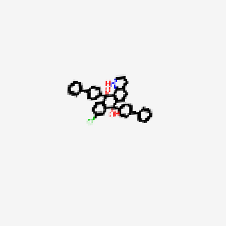 OC1(c2ccc(-c3ccccc3)cc2)c2cc(Cl)ccc2C(O)(c2ccc(-c3ccccc3)cc2)c2c1ccc1cccnc21